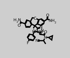 CC(C#N)N(C(=O)CN[C@@H](CC1(c2nnn[nH]2)c2ccc(C(N)=O)cc2CCc2cc(C(N)=O)ccc21)c1ccc(F)cc1)C1CC1